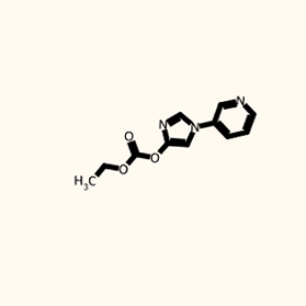 CCOC(=O)Oc1cn(-c2cccnc2)cn1